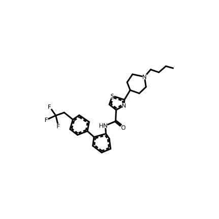 CCCCN1CCC(c2nc(C(=O)Nc3ccccc3-c3ccc(CC(F)(F)F)cc3)cs2)CC1